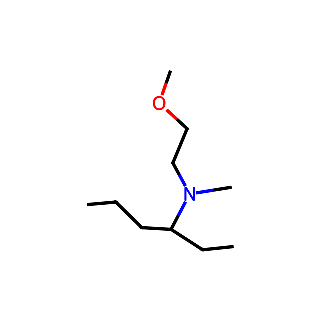 CCCC(CC)N(C)CCOC